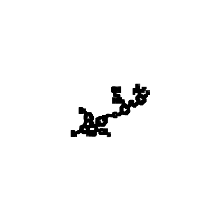 CC(O)C(N1CCN(CCCCc2ccc(OCc3ccc(F)c(C(F)(F)F)c3)c(CNCCO)c2)CC1)n1c2ccc(Br)cc2c2cc(Br)ccc21